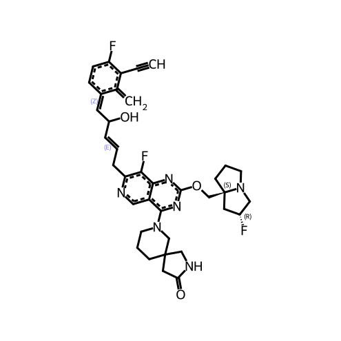 C#Cc1c(F)cc/c(=C/C(O)/C=C/Cc2ncc3c(N4CCCC5(CNC(=O)C5)C4)nc(OC[C@@]45CCCN4C[C@H](F)C5)nc3c2F)c1=C